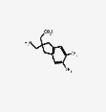 NCC1(CC(=O)O)Cc2cc(C(F)(F)F)c(C(F)(F)F)cc2C1